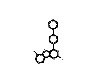 Clc1nc(-c2ccc(-c3ccccc3)cc2)c2sc3c(Cl)cccc3c2n1